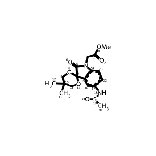 COC(=O)CN1C(=O)C2(OCC(C)(C)CO2)c2cc(N[S+](C)[O-])ccc21